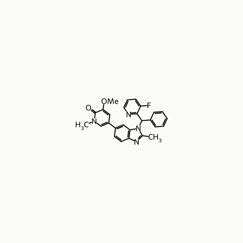 COc1cc(-c2ccc3nc(C)n(C(c4ccccc4)c4ncccc4F)c3c2)cn(C)c1=O